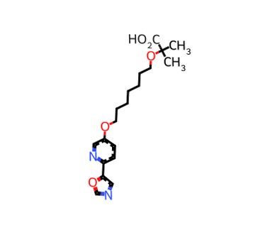 CC(C)(OCCCCCCCOc1ccc(-c2cnco2)nc1)C(=O)O